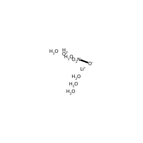 O.O.O.O.O.O.O=[N+]([O-])[O-].[Li+]